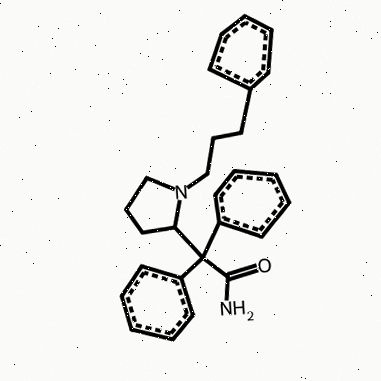 NC(=O)C(c1ccccc1)(c1ccccc1)C1CCCN1CCCc1ccccc1